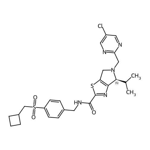 CC(C)[C@H]1c2nc(C(=O)NCc3ccc(S(=O)(=O)CC4CCC4)cc3)sc2CN1Cc1ncc(Cl)cn1